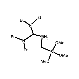 CCN(CC)C([SiH2]C[Si](OC)(OC)OC)N(CC)CC